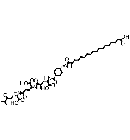 CC(C)C(=O)CC[C@H](NC(=O)CC[C@H](NC(=O)CC[C@H](NC(=O)[C@H]1CC[C@H](CNC(=O)CCCCCCCCCCCCCCCCC(=O)O)CC1)C(=O)O)C(=O)O)C(=O)O